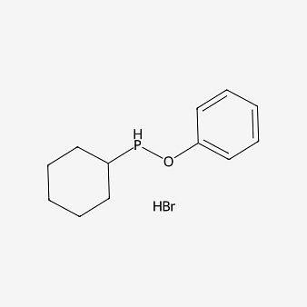 Br.c1ccc(OPC2CCCCC2)cc1